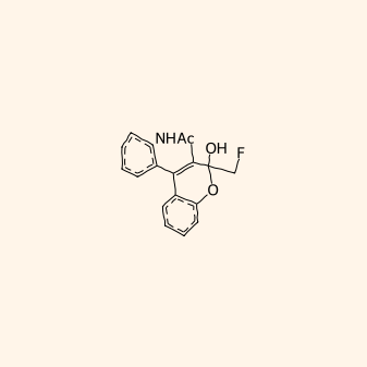 CC(=O)NC1=C(c2ccccc2)c2ccccc2OC1(O)CF